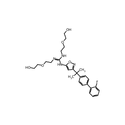 CC(C)(c1ccc(-c2ccccc2F)cc1)c1cc(N/C(=N\CCOCCO)NCCOCCO)on1